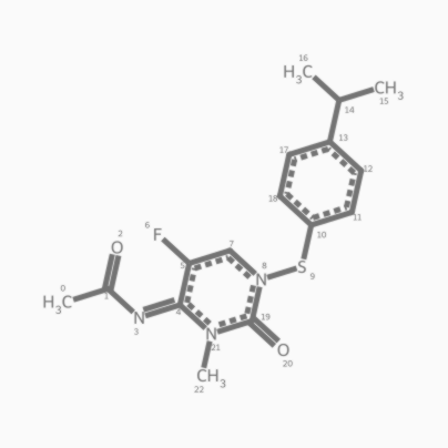 CC(=O)/N=c1\c(F)cn(Sc2ccc(C(C)C)cc2)c(=O)n1C